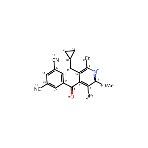 CCc1nc(OC)c(C(C)C)c(C(=O)c2cc(C#N)cc(C#N)c2)c1CC1CC1